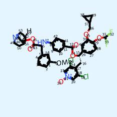 COc1cccc(C(Nc2ccc(C(=O)O[C@@H](Cc3c(Cl)c[n+]([O-])cc3Cl)c3ccc(OC(F)F)c(OCC4CC4)c3)cc2)C(=O)O[C@H]2CN3CCC2CC3)c1